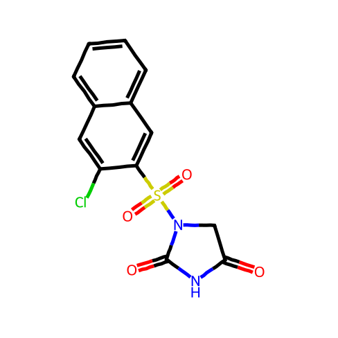 O=C1CN(S(=O)(=O)c2cc3ccccc3cc2Cl)C(=O)N1